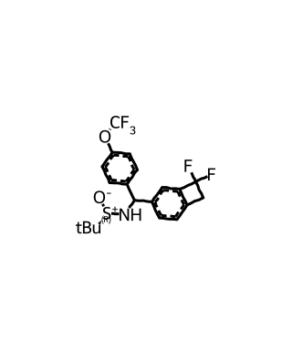 CC(C)(C)[S@+]([O-])NC(c1ccc(OC(F)(F)F)cc1)c1ccc2c(c1)C(F)(F)C2